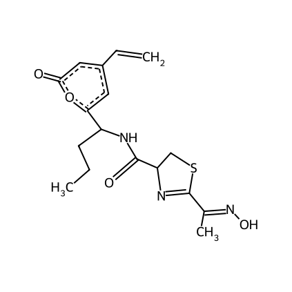 C=Cc1cc(C(CCC)NC(=O)C2CSC(/C(C)=N/O)=N2)oc(=O)c1